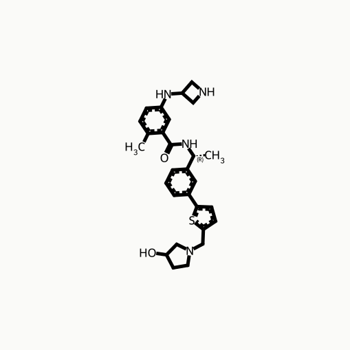 Cc1ccc(NC2CNC2)cc1C(=O)N[C@H](C)c1cccc(-c2ccc(CN3CCC(O)C3)s2)c1